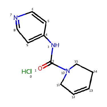 Cl.O=C(Nc1ccncc1)N1CC=CCC1